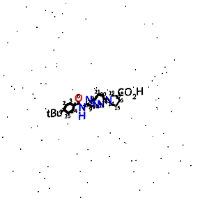 CC(C)(C)c1ccc(C(=O)Nc2cn3nc(N4CCCC(C(=O)O)C4)ccc3n2)cc1